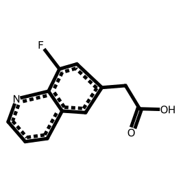 O=C(O)Cc1cc(F)c2ncccc2c1